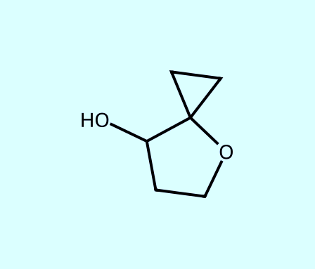 OC1CCOC12CC2